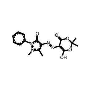 Cc1c(N=NC2=C(O)OC(C)(C)OC2=O)c(=O)n(-c2ccccc2)n1C